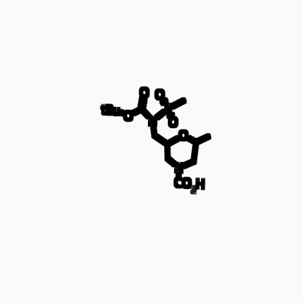 CC1CN(C(=O)O)CC(CN(C(=O)OC(C)(C)C)S(C)(=O)=O)O1